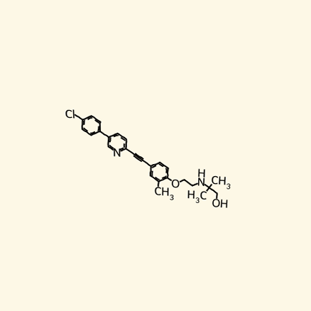 Cc1cc(C#Cc2ccc(-c3ccc(Cl)cc3)cn2)ccc1OCCNC(C)(C)CO